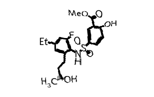 CCc1cc(F)c(NS(=O)(=O)c2ccc(O)c(C(=O)OC)c2)c(CC[C@@H](C)O)c1